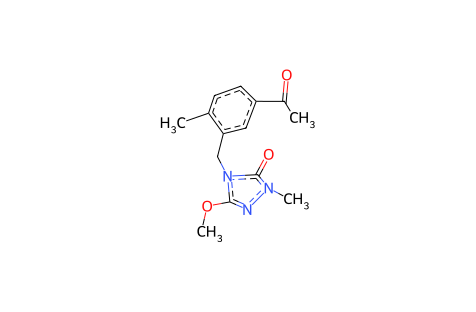 COc1nn(C)c(=O)n1Cc1cc(C(C)=O)ccc1C